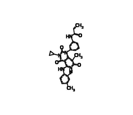 C=CC(=O)Nc1cccc(-n2c(=O)n(C3CC3)c(=O)c3c(Nc4ccc(C)cc4F)[nH]c(=O)c(C)c32)c1